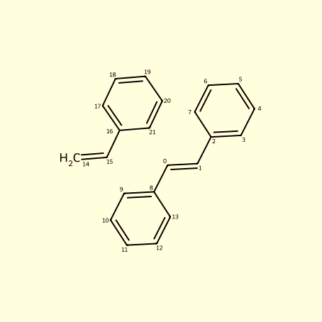 C(=Cc1ccccc1)c1ccccc1.C=Cc1ccccc1